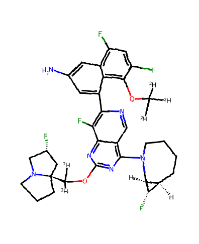 [2H]C([2H])([2H])Oc1c(F)cc(F)c2cc(N)cc(-c3ncc4c(N5CCCC[C@H]6[C@H](F)[C@H]65)nc(OC([2H])([2H])[C@@]56CCCN5C[C@H](F)C6)nc4c3F)c12